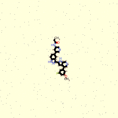 CCC(=O)Nc1cncc(-c2ccc3[nH]nc(-c4cc5c(-c6cc(F)cc(OC)c6)cncc5[nH]4)c3c2)c1